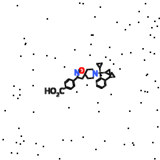 O=C(O)c1ccc(C2=NOC3(CCN(C(c4ccccc4C4CC4)(C4CC4)C4CC4)CC3)C2)cc1